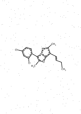 CCC=Cc1c(C)nn2c(-c3ccc(Cl)cc3Cl)c(C)oc12